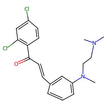 CN(C)CCN(C)c1cccc(/C=C/C(=O)c2ccc(Cl)cc2Cl)c1